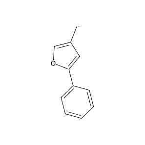 [CH2]c1coc(-c2ccccc2)c1